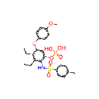 CCc1c(Oc2ccc(OC)cc2)cc(OP(=O)(O)O)c(NS(=O)(=O)c2ccc(C)cc2)c1CC